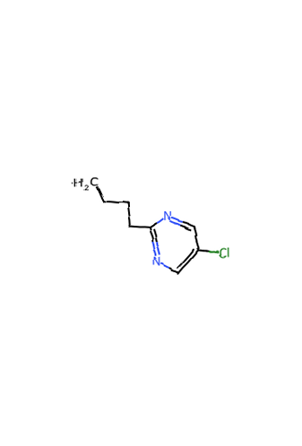 [CH2]CCCc1ncc(Cl)cn1